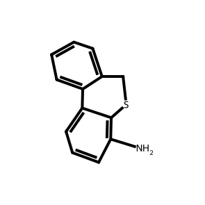 Nc1cccc2c1SCc1ccccc1-2